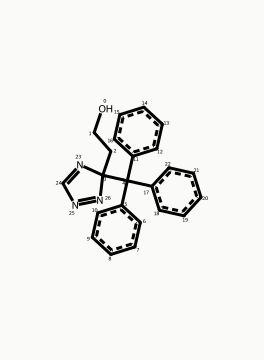 OCCC1(C(c2ccccc2)(c2ccccc2)c2ccccc2)N=CN=N1